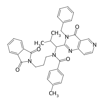 Cc1ccc(C(=O)N(CCCN2C(=O)c3ccccc3C2=O)C(c2nc3ccncc3c(=O)n2Cc2ccccc2)C(C)C)cc1